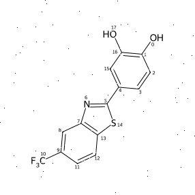 Oc1ccc(-c2nc3cc(C(F)(F)F)ccc3s2)cc1O